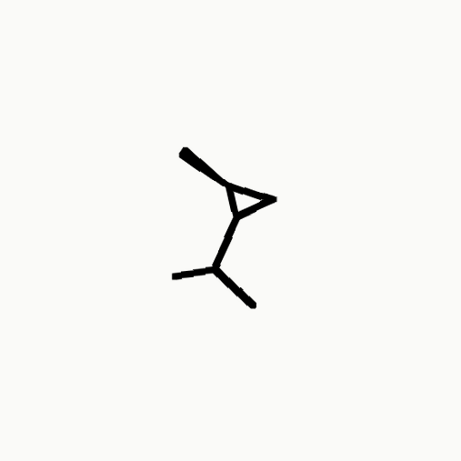 CC(C)C1C[C@@H]1C